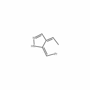 C/C=c1/cn[nH]/c1=C/C(C)C